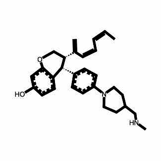 C=C(/C=C\C=C/C)[C@H]1COc2cc(O)ccc2[C@H]1c1ccc(N2CCC(CNC)CC2)cc1